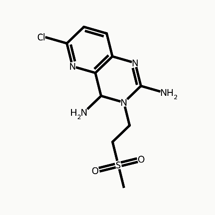 CS(=O)(=O)CCN1C(N)=Nc2ccc(Cl)nc2C1N